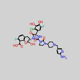 Nc1ccc(CN2CCC(N3CCN(C(=O)N[C@@H](C(=O)N[C@H]4Cc5ccc(F)c(C(=O)O)c5OB4O)c4cc(F)c(O)c(O)c4Cl)C3=O)CC2)cn1